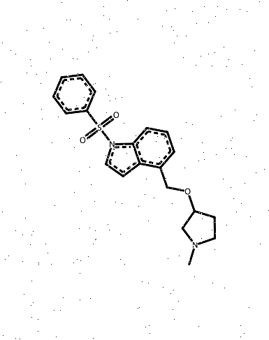 CN1CCC(OCc2cccc3c2ccn3S(=O)(=O)c2ccccc2)C1